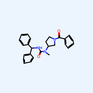 CN(C(=O)NC(c1ccccc1)c1ccccc1)C1CCN(C(=O)c2ccccc2)C1